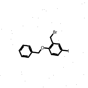 BrCc1cc(I)ccc1OCc1ccccc1